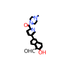 CN1CCN(C(=O)c2ccc(-c3ccc4c(C=O)c(O)ccc4c3)cn2)CC1